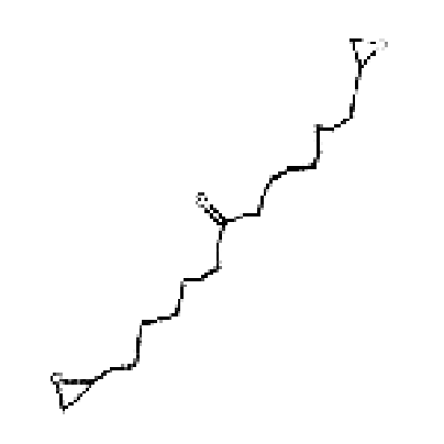 O=C(CCCCCC1CO1)CCCCCC1CO1